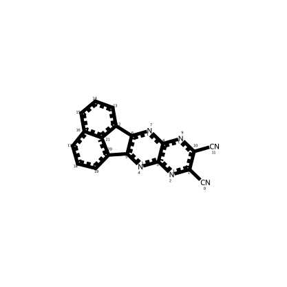 N#Cc1nc2nc3c(nc2nc1C#N)-c1cccc2cccc-3c12